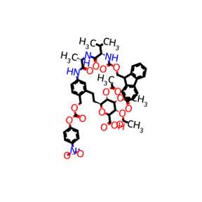 CC(=O)O[C@@H]1[C@@H](OC(C)=O)[C@H](OC(C)=O)C(C(=O)O)O[C@H]1CCc1cc(NC(=O)[C@H](C)NC(=O)[C@@H](NC(=O)OCC2c3ccccc3-c3ccccc32)C(C)C)ccc1COC(=O)Oc1ccc([N+](=O)[O-])cc1